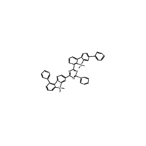 C[Si]1(C)c2cc(-c3nc(-c4ccccc4)nc(-c4cccc5c4[Si](C)(C)c4cc(-c6ccccc6)ccc4-5)n3)ccc2-c2c(-c3ccccc3)cccc21